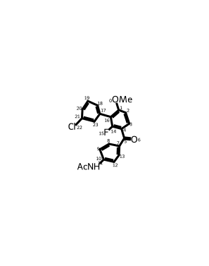 COc1ccc(C(=O)c2ccc(NC(C)=O)cc2)c(F)c1-c1cccc(Cl)c1